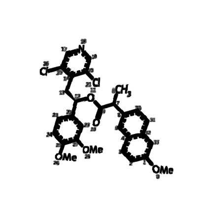 COc1ccc2cc(C(C)C(=O)O[C@H](Cc3c(Cl)cncc3Cl)c3ccc(OC)c(OC)c3)ccc2c1